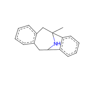 CC12Cc3ccccc3CC(N1)c1ccccc12